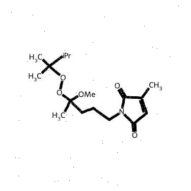 COC(C)(CCCN1C(=O)C=C(C)C1=O)OOC(C)(C)C(C)C